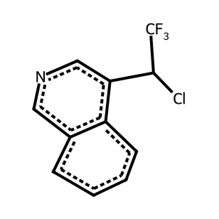 FC(F)(F)C(Cl)c1cncc2ccccc12